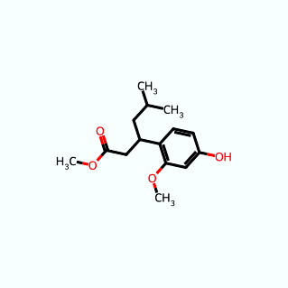 COC(=O)CC(CC(C)C)c1ccc(O)cc1OC